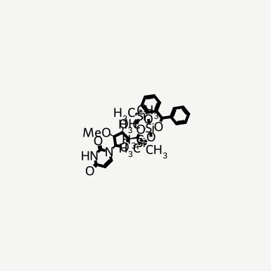 CO[C@@H]1[C@H](O)[C@@H](CO[Si](OC(c2ccccc2)c2ccccc2)(O[Si](C)(C)C)O[Si](C)(C)C)O[C@H]1n1ccc(=O)[nH]c1=O